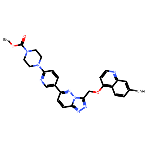 COc1ccc2c(OCc3nnc4ccc(-c5ccc(N6CCN(C(=O)OC(C)(C)C)CC6)nc5)nn34)ccnc2c1